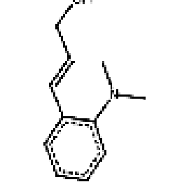 CN(C)c1ccccc1C=CCO